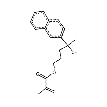 C=C(C)C(=O)OCCCC(C)(O)c1ccc2ccccc2c1